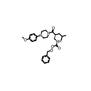 COc1ccc(N2CCN(C(=O)[C@H](CNC(=O)OOCc3ccccc3)CC(C)C)CC2)cc1